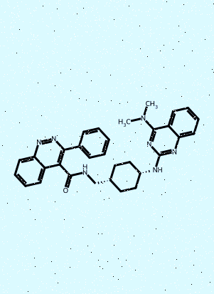 CN(C)c1nc(N[C@H]2CC[C@@H](CNC(=O)c3c(-c4ccccc4)nnc4ccccc34)CC2)nc2ccccc12